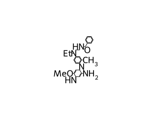 CCN(CCNC(=O)c1ccccc1)c1ccc(N=C2C=C(OC)C(=N)C=C2N)c(C)c1